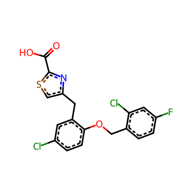 O=C(O)c1nc(Cc2cc(Cl)ccc2OCc2ccc(F)cc2Cl)cs1